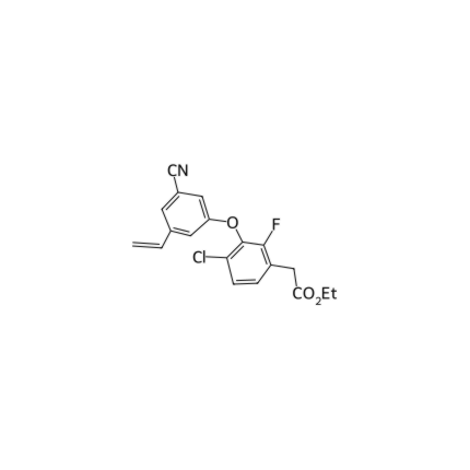 C=Cc1cc(C#N)cc(Oc2c(Cl)ccc(CC(=O)OCC)c2F)c1